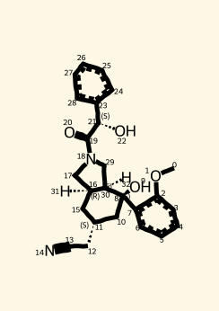 COc1ccccc1[C@]1(O)C[C@H](CC#N)C[C@H]2CN(C(=O)[C@@H](O)c3ccccc3)C[C@H]21